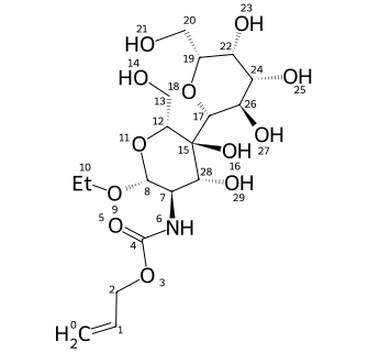 C=CCOC(=O)N[C@H]1[C@H](OCC)O[C@H](CO)[C@](O)([C@@H]2O[C@H](CO)[C@H](O)[C@H](O)[C@H]2O)[C@@H]1O